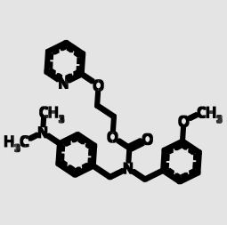 COc1cccc(CN(Cc2ccc(N(C)C)cc2)C(=O)OCCOc2ccccn2)c1